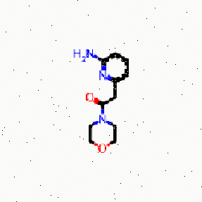 Nc1cccc(CC(=O)N2CCOCC2)n1